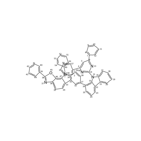 c1ccc(-c2cc(-c3ccccc3)nc(-n3c4ccccc4c4cccc(-c5ccc6c(c5)c5ccc7nc(-c8ccccc8)oc7c5n6-c5ccccc5)c43)n2)cc1